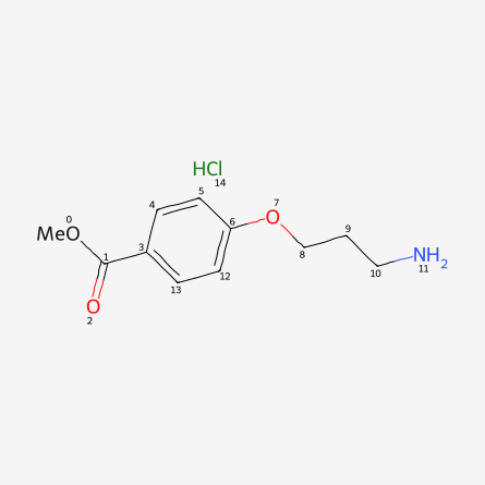 COC(=O)c1ccc(OCCCN)cc1.Cl